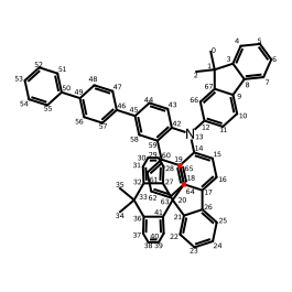 CC1(C)c2ccccc2-c2ccc(N(c3ccc4c(c3)C3(c5ccccc5-4)c4ccccc4C(C)(C)c4ccccc43)c3ccc(-c4ccc(-c5ccccc5)cc4)cc3-c3ccccc3)cc21